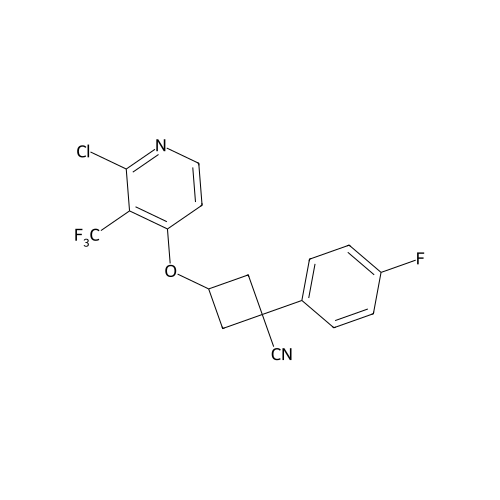 N#CC1(c2ccc(F)cc2)CC(Oc2ccnc(Cl)c2C(F)(F)F)C1